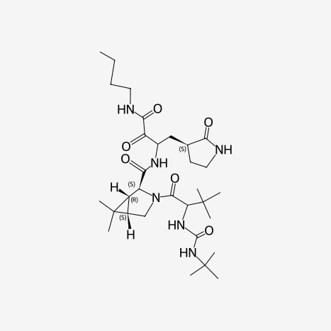 CCCCNC(=O)C(=O)C(C[C@@H]1CCNC1=O)NC(=O)[C@@H]1[C@@H]2[C@H](CN1C(=O)C(NC(=O)NC(C)(C)C)C(C)(C)C)C2(C)C